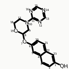 Oc1ccc2cc(OC3CN(c4ncncn4)CCO3)ccc2c1